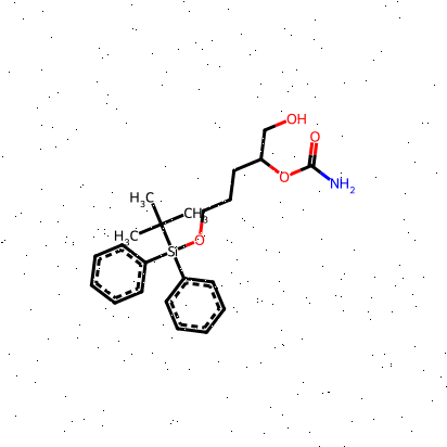 CC(C)(C)[Si](OCCCC(CO)OC(N)=O)(c1ccccc1)c1ccccc1